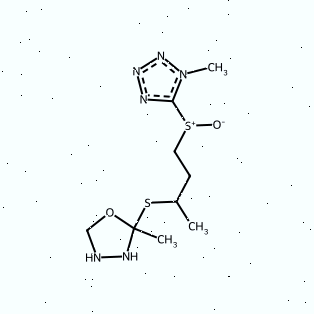 CC(CC[S+]([O-])c1nnnn1C)SC1(C)NNCO1